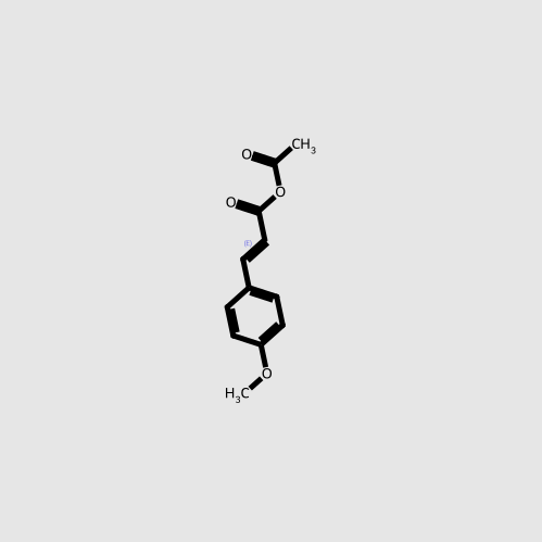 COc1ccc(/C=C/C(=O)OC(C)=O)cc1